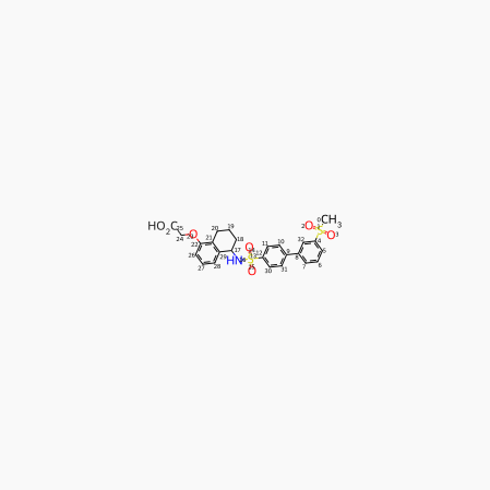 CS(=O)(=O)c1cccc(-c2ccc(S(=O)(=O)NC3CCCc4c(OCC(=O)O)cccc43)cc2)c1